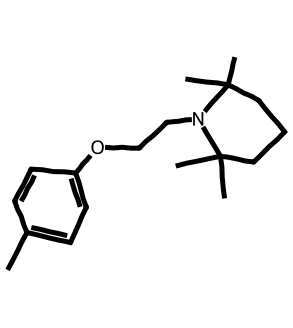 Cc1ccc(OCCN2C(C)(C)CCCC2(C)C)cc1